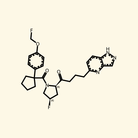 O=C(CCCc1ccc2[nH]ncc2n1)[C@H]1C[C@@H](F)CN1C(=O)C1(c2ccc(OCF)cc2)CCCC1